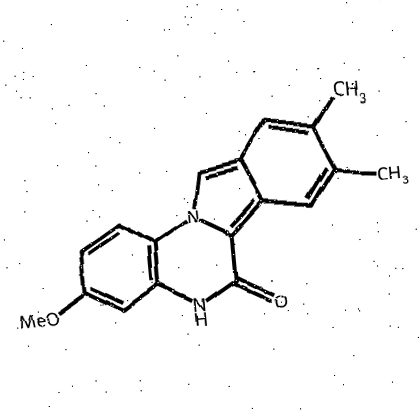 COc1ccc2c(c1)[nH]c(=O)c1c3cc(C)c(C)cc3cn21